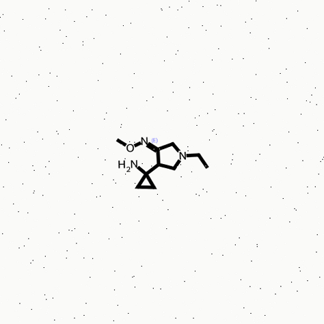 CCN1C/C(=N/OC)C(C2(N)CC2)C1